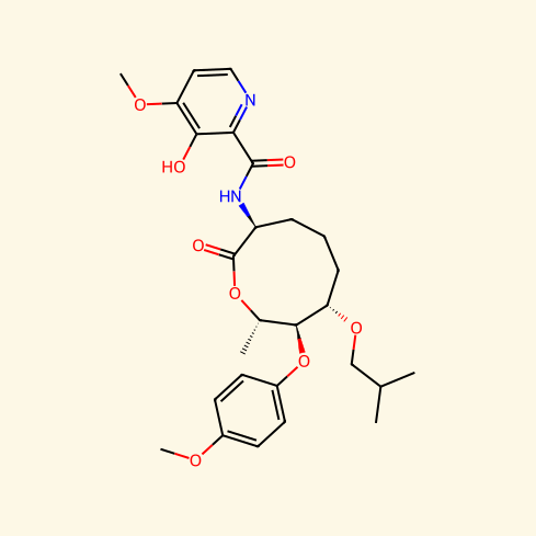 COc1ccc(O[C@H]2[C@H](C)OC(=O)[C@@H](NC(=O)c3nccc(OC)c3O)CCC[C@@H]2OCC(C)C)cc1